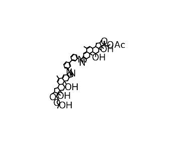 CC(=O)OCC(=O)C1(O)C(C)CC2C3C=C(C)C4=Cc5c(cnn5-c5cccc(-c6cccc(-n7ncc8c7C=C7C(C)=CC9C(C(O)CC%10(C)C9CC(C)C%10(O)C(=O)COC(C)O)C7(C)C8)c6)c5)CC4(C)C3C(O)CC21C